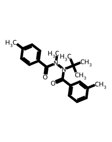 Cc1ccc(C(=O)N(C)N(C(=O)c2cccc(C)c2)C(C)(C)C)cc1